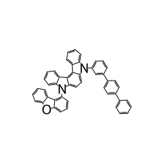 c1ccc(-c2ccc(-c3cccc(-n4c5ccccc5c5c6c7ccccc7n(-c7cccc8oc9ccccc9c78)c6ccc54)c3)cc2)cc1